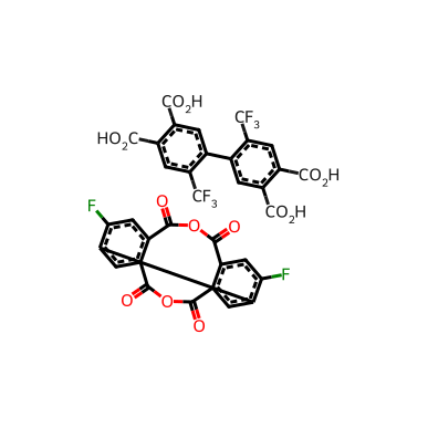 O=C(O)c1cc(-c2cc(C(=O)O)c(C(=O)O)cc2C(F)(F)F)c(C(F)(F)F)cc1C(=O)O.O=C1OC(=O)c2cc(F)c3cc2C(=O)OC(=O)c2cc-3c(F)cc21